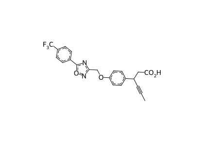 CC#CC(CC(=O)O)c1ccc(OCc2noc(-c3ccc(C(F)(F)F)cc3)n2)cc1